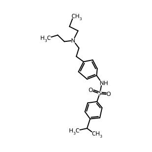 CCCN(CCC)CCc1ccc(NS(=O)(=O)c2ccc(C(C)C)cc2)cc1